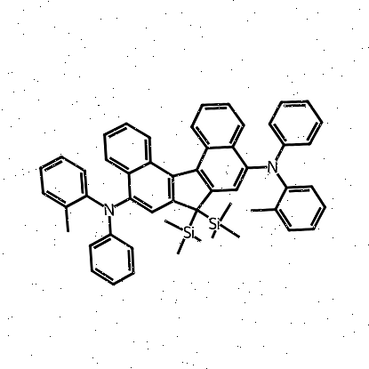 Cc1ccccc1N(c1ccccc1)c1cc2c(c3ccccc13)-c1c(cc(N(c3ccccc3)c3ccccc3C)c3ccccc13)C2([Si](C)(C)C)[Si](C)(C)C